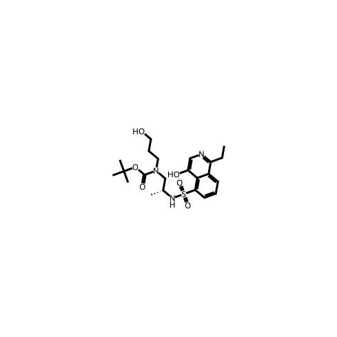 CCc1ncc(O)c2c(S(=O)(=O)N[C@H](C)CN(CCCO)C(=O)OC(C)(C)C)cccc12